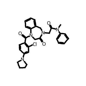 CN(C(=O)CN1Cc2ccccc2N(C(=O)c2ccc(N3CCCC3)cc2Cl)CC1=O)c1ccccc1